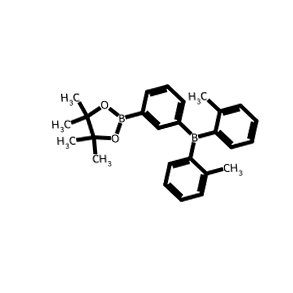 Cc1ccccc1B(c1cccc(B2OC(C)(C)C(C)(C)O2)c1)c1ccccc1C